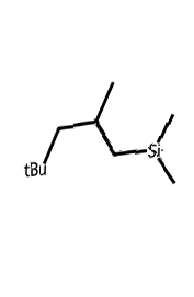 CC(C[Si](C)C)CC(C)(C)C